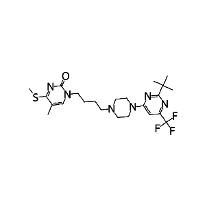 CSc1nc(=O)n(CCCCN2CCN(c3cc(C(F)(F)F)nc(C(C)(C)C)n3)CC2)cc1C